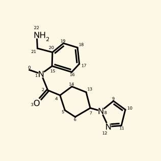 CN(C(=O)C1CCC(n2cccn2)CC1)c1ccccc1CN